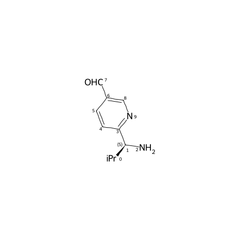 CC(C)[C@H](N)c1ccc(C=O)cn1